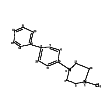 ClN1CCN(c2ccc(-c3ccccc3)cc2)CC1